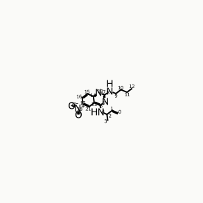 C=CC(C)Nc1nc(NCCCC)nc2ccc([N+](=O)[O-])cc12